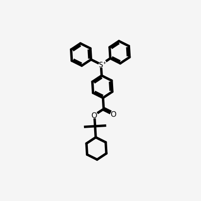 CC(C)(OC(=O)c1ccc([S+](c2ccccc2)c2ccccc2)cc1)C1CCCCC1